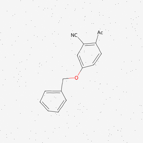 CC(=O)c1ccc(OCc2ccccc2)cc1C#N